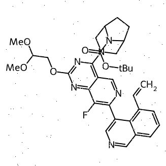 C=Cc1cccc2cncc(-c3ncc4c(N5CC6CCC(C5)N6C(=O)OC(C)(C)C)nc(OCC(OC)OC)nc4c3F)c12